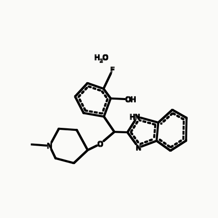 CN1CCC(OC(c2nc3ccccc3[nH]2)c2cccc(F)c2O)CC1.O